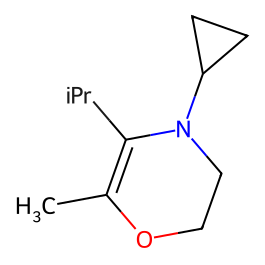 CC1=C(C(C)C)N(C2CC2)CCO1